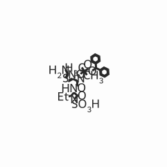 CCC1C(NC(=O)C(=NOC(C)(C)C(=O)OC(c2ccccc2)c2ccccc2)c2csc(N)n2)C(=O)N1S(=O)(=O)O